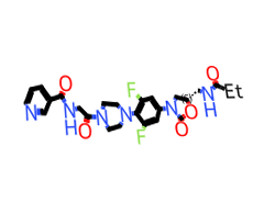 CCC(=O)NC[C@H]1CN(c2cc(F)c(N3CCN(C(=O)CNC(=O)c4cccnc4)CC3)c(F)c2)C(=O)O1